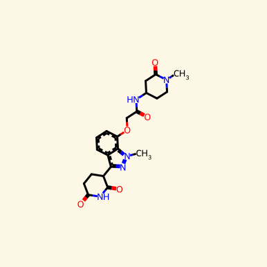 CN1CCC(NC(=O)COc2cccc3c(C4CCC(=O)NC4=O)nn(C)c23)CC1=O